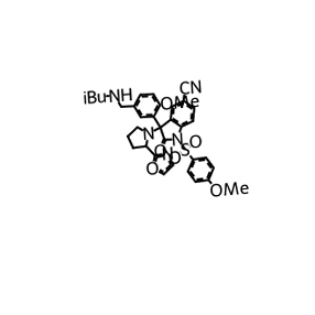 CCC(C)NCc1ccc(OC)c(C2(N3CCCC3c3ncco3)C(=O)N(S(=O)(=O)c3ccc(OC)cc3)c3ccc(C#N)cc32)c1